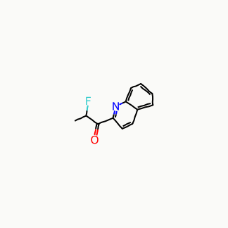 CC(F)C(=O)c1ccc2ccccc2n1